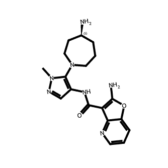 Cn1ncc(NC(=O)c2c(N)oc3cccnc23)c1N1CCC[C@H](N)CC1